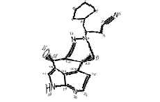 N#CCC(C1CCCC1)n1cc2c(n1)C(=O)c1c[nH]c3nccc-2c13